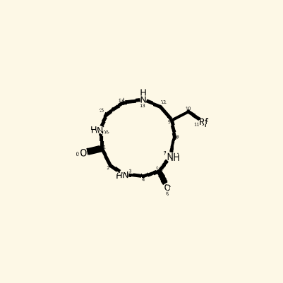 O=C1CNCC(=O)NCC([CH2][Rf])CNCCN1